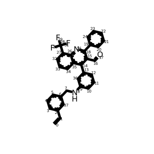 C=Cc1cccc(CNc2cccc(-c3c(C=O)c(-c4ccccc4)nc4c(C(F)(F)F)cccc34)c2)c1